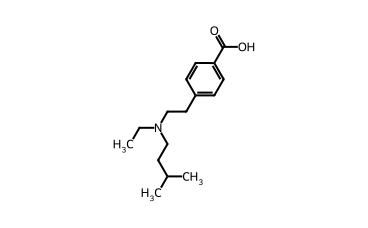 CCN(CCc1ccc(C(=O)O)cc1)CCC(C)C